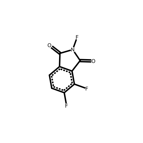 O=C1c2ccc(F)c(F)c2C(=O)N1F